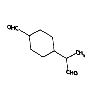 CC(C=O)C1CCC(C=O)CC1